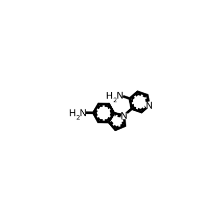 Nc1ccc2c(ccn2-c2cnccc2N)c1